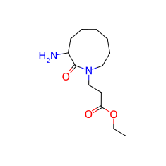 CCOC(=O)CCN1CCCCCCC(N)C1=O